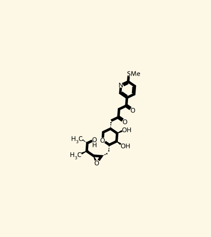 CSc1ccc(C(=O)CC(=O)C[C@H]2CO[C@@H](C[C@@H]3O[C@H]3[C@@H](C)[C@H](C)O)[C@H](O)[C@@H]2O)cn1